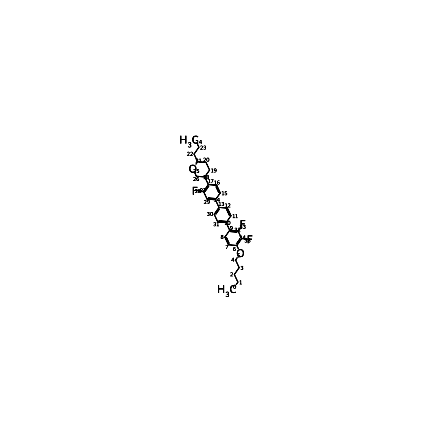 CCCCCOc1ccc(-c2ccc(-c3ccc(C4CCC(CCC)OC4)c(F)c3)cc2)c(F)c1F